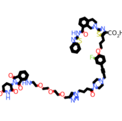 O=C1CCC(N2C(=O)c3cccc(NCCOCCOCCOCc4cn(CCCC(=O)N5CCN(CC#Cc6ccc(OCCCc7sc(N8CCc9cccc(C(=O)Nc%10nc%11ccccc%11s%10)c9C8)nc7C(=O)O)c(F)c6)CC5)nn4)c3C2=O)C(=O)N1